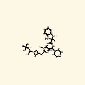 Cn1c(CC2CN(C(=O)OC(C)(C)C)C2)nc2c(N3CCOCC3)nc(C3(C)Nc4ccccc4N3)nc21